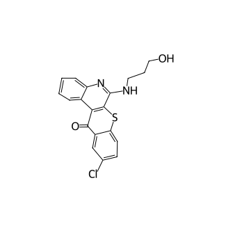 O=c1c2cc(Cl)ccc2sc2c(NCCCO)nc3ccccc3c12